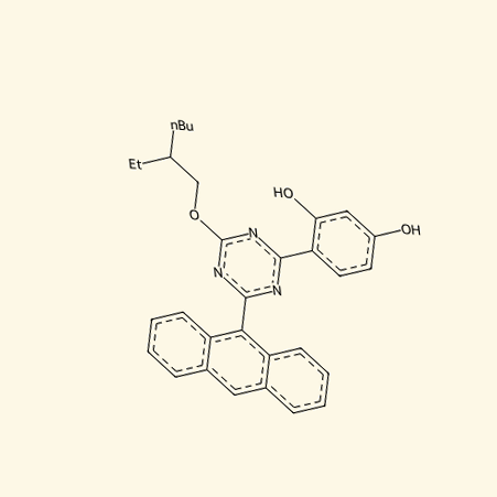 CCCCC(CC)COc1nc(-c2ccc(O)cc2O)nc(-c2c3ccccc3cc3ccccc23)n1